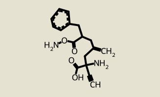 C#CC(N)(CC(=C)CC(Cc1ccccc1)C(=O)ON)C(=O)O